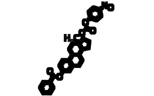 CC12CCC3c4ccc(OC(=O)c5ccccc5)cc4CCC3C1CCC2OC(=O)Oc1ccc(N=O)cc1